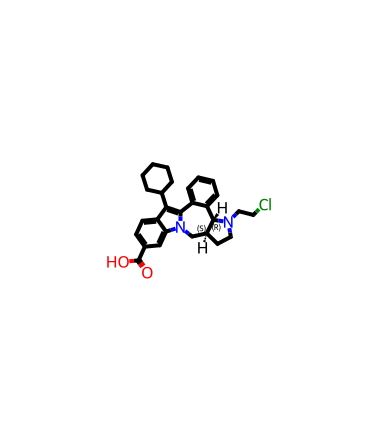 O=C(O)c1ccc2c(C3CCCCC3)c3n(c2c1)C[C@@H]1CCN(CCCl)[C@H]1c1ccccc1-3